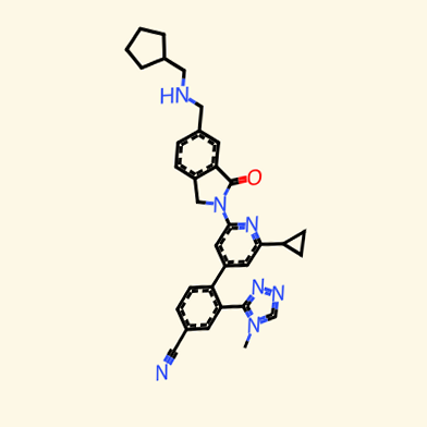 Cn1cnnc1-c1cc(C#N)ccc1-c1cc(C2CC2)nc(N2Cc3ccc(CNCC4CCCC4)cc3C2=O)c1